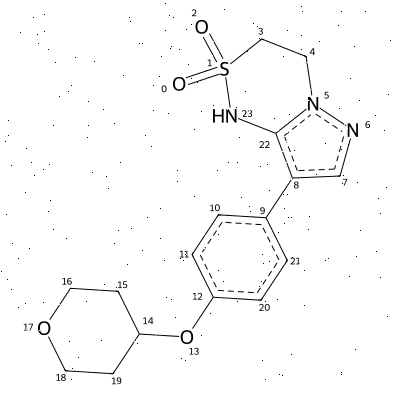 O=S1(=O)CCn2ncc(-c3ccc(OC4CCOCC4)cc3)c2N1